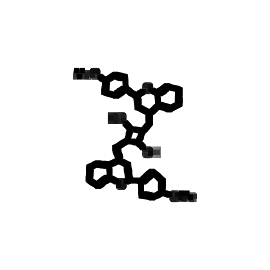 COc1ccc(C2=C/C(=C\C3C(O)C(/C=C4\C=C(c5ccc(OC)cc5)Oc5ccccc54)C3O)c3ccccc3O2)cc1